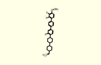 C=CC1CCC(C2CCC(c3ccc(-c4ccc(-c5ccc(OCCCC)c(F)c5F)cc4)cc3F)CC2)CC1